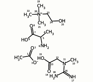 CC(=O)[O-].CC(N)C(=O)O.CN(CC(=O)O)C(=N)N.C[N+](C)(C)CCO